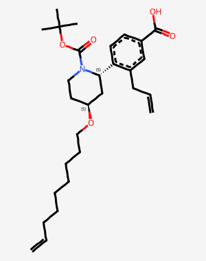 C=CCCCCCCCO[C@H]1CCN(C(=O)OC(C)(C)C)[C@H](c2ccc(C(=O)O)cc2CC=C)C1